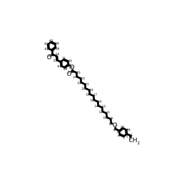 C=Cc1ccc(COCCCCCCCCCCCCCCCCCCC(=O)Oc2ccc(C=CC(=O)c3ccccc3)cc2)cc1